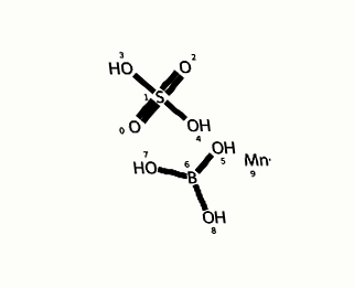 O=S(=O)(O)O.OB(O)O.[Mn]